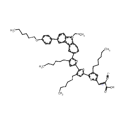 [C-]#[N+]/C(=C\c1cc(CCCCCC)c(-c2cc(CCCCCC)c(-c3cc(CCCCCC)c(-c4ccc5c(c4)c4cc(-c6ccc(OCCCCCC)cc6)ccc4n5CC)s3)s2)s1)C(=O)O